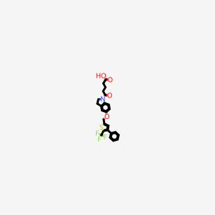 O=C(O)CCCC(=O)N1CCc2cc(OCc3cc(-c4ccccc4)c(C(F)(F)F)s3)ccc21